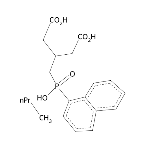 CCCC.O=C(O)CC(CC(=O)O)CP(=O)(O)c1cccc2ccccc12